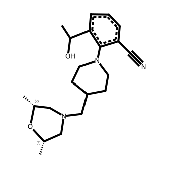 CC(O)c1cccc(C#N)c1N1CCC(CN2C[C@@H](C)O[C@@H](C)C2)CC1